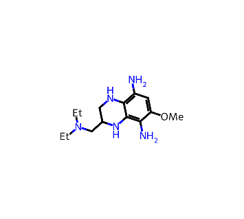 CCN(CC)CC1CNc2c(N)cc(OC)c(N)c2N1